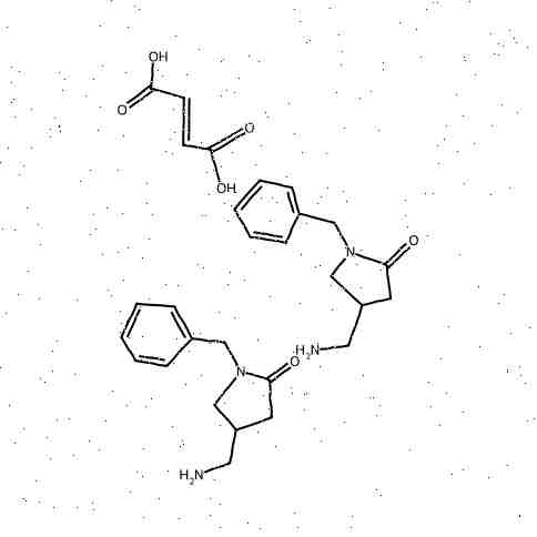 NCC1CC(=O)N(Cc2ccccc2)C1.NCC1CC(=O)N(Cc2ccccc2)C1.O=C(O)/C=C/C(=O)O